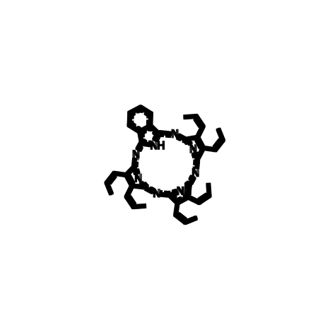 C/C=C\C1=C(/C=C\C)c2nc1nc1[nH]c(nc3nc(nc4[nH]c(n2)c2ccccc42)C(/C=C\C)=C3/C=C\C)c(/C=C\C)c1/C=C\C